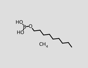 C.CCCCCCCCCOB(O)O